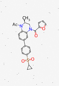 CC(=O)N1c2ccc(-c3ccc(S(=O)(=O)C4CC4)cc3)cc2N(C(=O)c2ccco2)C[C@@H]1C